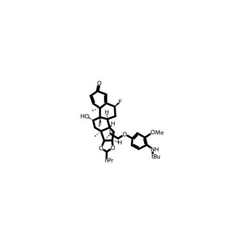 CCCC1O[C@@H]2C[C@H]3[C@@H]4C[C@H](F)C5=CC(=O)C=C[C@]5(C)[C@@]4(F)[C@@H](O)C[C@]3(C)[C@]2(C(=O)COc2ccc(NC(C)(C)C)c(OC)c2)O1